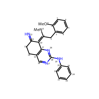 CN/C(Cc1ccccc1OC)=C1\C(=N)CCc2cnc(Nc3ccccc3)nc21